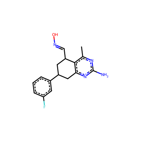 Cc1nc(N)nc2c1C(C=NO)CC(c1cccc(F)c1)C2